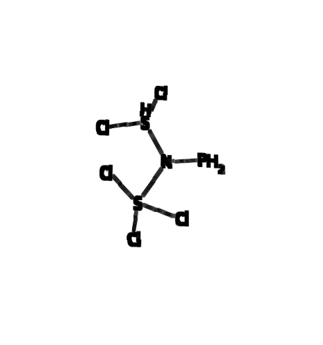 PN([SH](Cl)Cl)S(Cl)(Cl)Cl